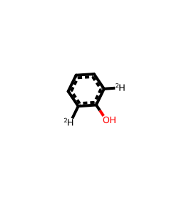 [2H]c1cccc([2H])c1O